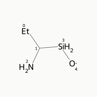 CCC(N)[SiH2][O]